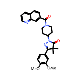 COc1ccc(C2=NN(C3CCN(C(=O)c4ccc5cccnc5c4)CC3)C(=O)C2(C)C)cc1OC